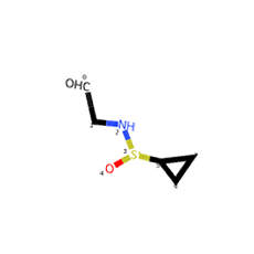 O=CCN[S+]([O-])C1CC1